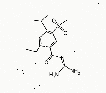 CCc1cc(C(C)C)c(S(C)(=O)=O)cc1C(=O)N=C(N)N